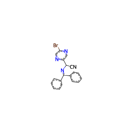 N#CC(N=C(c1ccccc1)c1ccccc1)c1cnc(Br)cn1